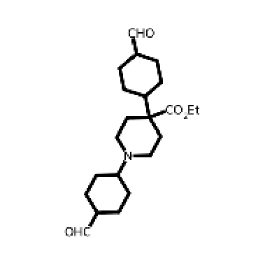 CCOC(=O)C1(C2CCC(C=O)CC2)CCN(C2CCC(C=O)CC2)CC1